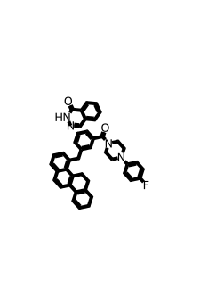 O=C(c1cccc(Cc2cccc3ccc4c(c23)CCC2=C4C=CCC2)c1)N1CCN(c2ccc(F)cc2)CC1.O=c1[nH]ncc2ccccc12